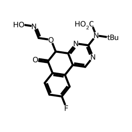 CC(C)(C)N(C(=O)O)c1ncc2c(n1)C(O/C=N/O)C(=O)c1ccc(F)cc1-2